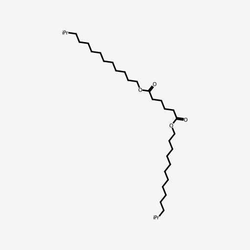 CC(C)CCCCCCCCCCCOC(=O)CCCCC(=O)OCCCCCCCCCCCC(C)C